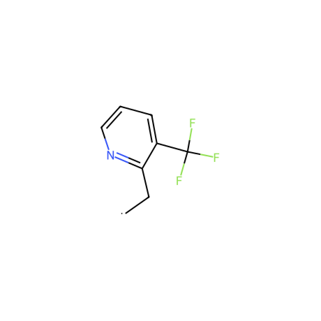 [CH2]Cc1ncccc1C(F)(F)F